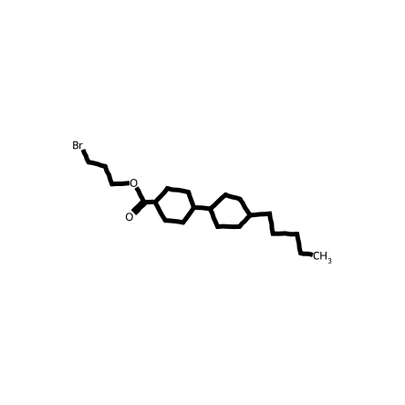 CCCCCC1CCC(C2CCC(C(=O)OCCCBr)CC2)CC1